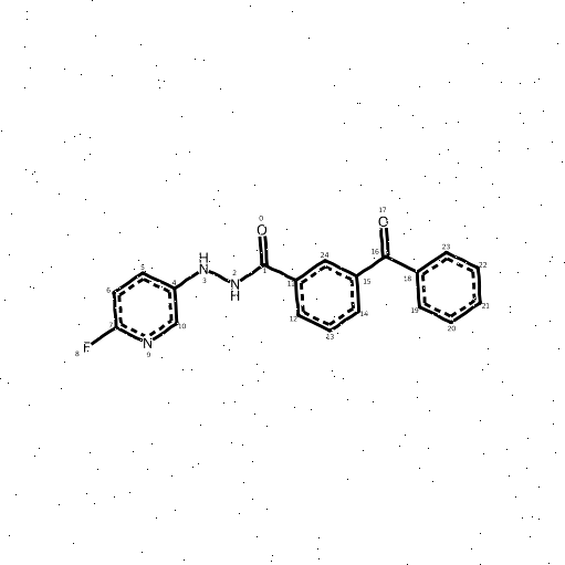 O=C(NNc1ccc(F)nc1)c1cccc(C(=O)c2ccccc2)c1